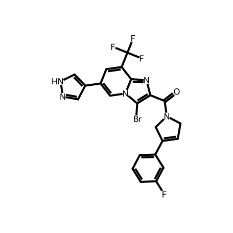 O=C(c1nc2c(C(F)(F)F)cc(-c3cn[nH]c3)cn2c1Br)N1CC=C(c2cccc(F)c2)C1